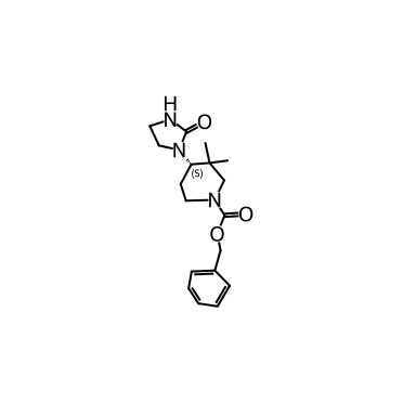 CC1(C)CN(C(=O)OCc2ccccc2)CC[C@@H]1N1CCNC1=O